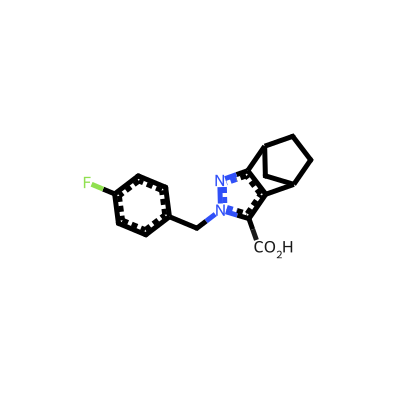 O=C(O)c1c2c(nn1Cc1ccc(F)cc1)C1CCC2C1